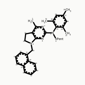 CCCCCN(c1nc(C)c2c(n1)N(Cc1cccc3ccccc13)CC2)c1c(C)cc(C)cc1C